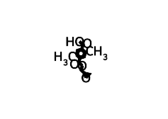 Cc1cc(C(=O)OCC2CO2)c(C)cc1C(=O)O